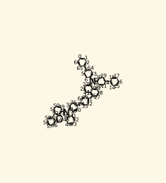 c1ccc(-c2ccc(N(c3ccc(-c4ccccc4)cc3)c3ccc4c5c(cccc35)-c3ccc(-c5ccc6c(c5)c5ccccc5n6-c5cccc6c5oc5ccccc56)cc3-4)cc2)cc1